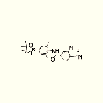 Cc1cc(B2OC(C)(C)C(C)(C)O2)cc(C)c1NC(=O)c1ccc(C#N)c(N)c1